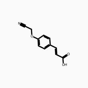 N#CCOc1ccc(C=CC(=O)O)cc1